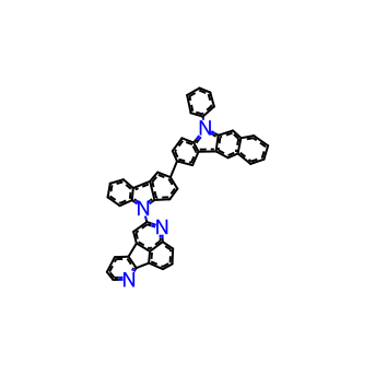 c1ccc(-n2c3ccc(-c4ccc5c(c4)c4ccccc4n5-c4cc5c6c(cccc6n4)-c4ncccc4-5)cc3c3cc4ccccc4cc32)cc1